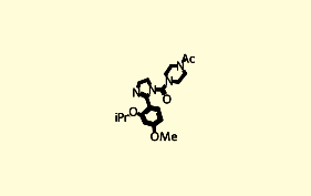 COc1ccc(C2=NCCN2C(=O)N2CCN(C(C)=O)CC2)c(OC(C)C)c1